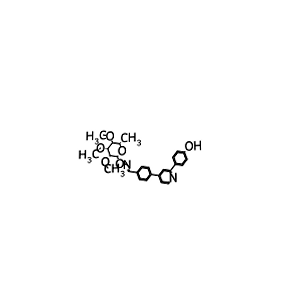 CO[C@@H]1[C@@H](OC)[C@H](C)O[C@@H](O/N=C/c2ccc(-c3ccnc(-c4ccc(O)cc4)c3)cc2)[C@@H]1OC